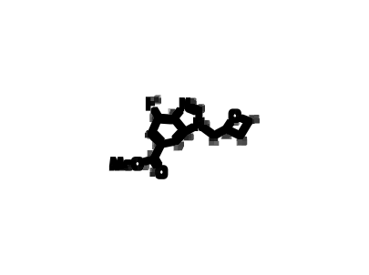 COC(=O)c1cc(F)c2ncn(CC3CCO3)c2c1